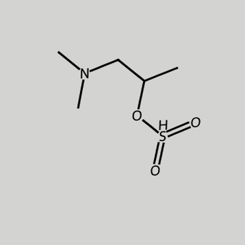 CC(CN(C)C)O[SH](=O)=O